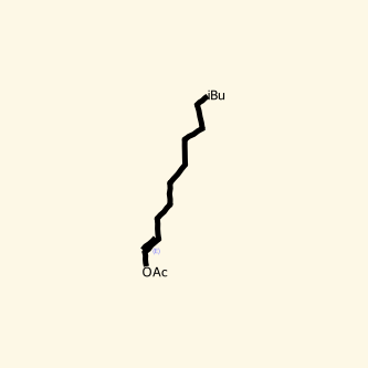 CCC(C)CCCCCCC/C=C/OC(C)=O